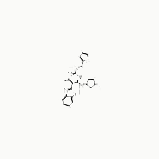 Cc1nc(NCc2cccs2)nc(N[C@H]2CC[C@@H](C)C2)c1-c1nc2ccccc2s1